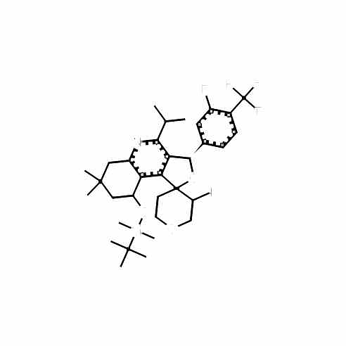 CC(C)c1nc2c(c3c1[C@@H](c1ccc(C(F)(F)F)c(F)c1)OC31CCOCC1I)C(O[Si](C)(C)C(C)(C)C)CC(C)(C)C2